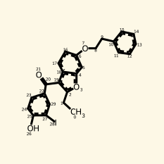 CCc1oc2cc(OCCc3ccccc3)ccc2c1C(=O)c1ccc(O)c(I)c1